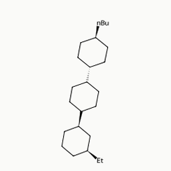 CCCC[C@H]1CC[C@H](C2CCC([C@@H]3CCC[C@H](CC)C3)CC2)CC1